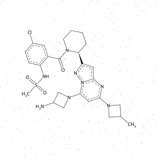 CC1CN(c2cc(N3CC(N)C3)n3nc([C@@H]4CCCCN4C(=O)c4cc(Cl)ccc4NS(C)(=O)=O)cc3n2)C1